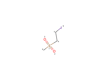 CS(=O)(=O)CCI